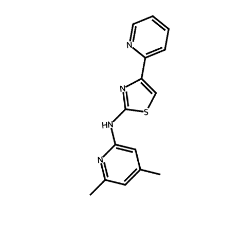 Cc1cc(C)nc(Nc2nc(-c3ccccn3)cs2)c1